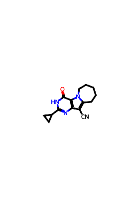 N#Cc1c2n(c3c(=O)[nH]c(C4CC4)nc13)CCCCC2